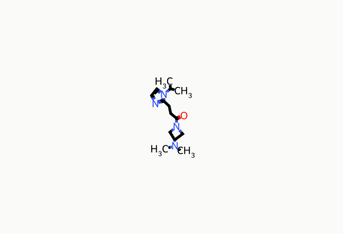 CC(C)n1ccnc1CCC(=O)N1CC(N(C)C)C1